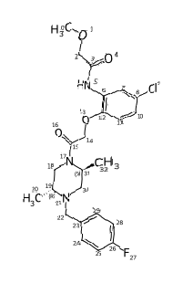 COCC(=O)Nc1cc(Cl)ccc1OCC(=O)N1C[C@@H](C)N(Cc2ccc(F)cc2)C[C@@H]1C